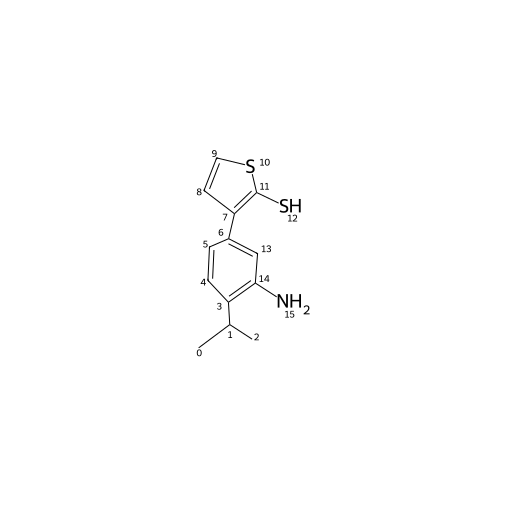 CC(C)c1ccc(-c2ccsc2S)cc1N